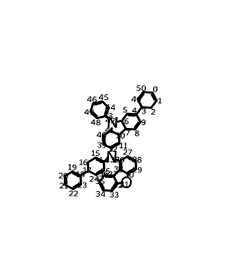 C1=CCC(C2=CC3C(C=C2)C2C=C(N(C4=CCC(c5ccccc5)C=C4)c4cccc5oc6ccccc6c45)C=CC2N3c2ccccc2)C=C1